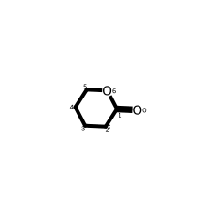 O=C1[C]CCCO1